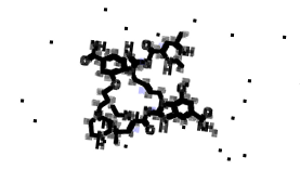 CCN/C(=C\C(C)=N)C(=O)/N=c1\[nH]c2cc(C(N)=O)cc(OC)c2n1C/C=C/Cn1/c(=N/C(=O)/C(=C/C(C)=N)NCC)[nH]c2cc(C(N)=O)cc(OCCCN3CCNCC3)c21